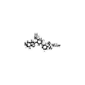 CNS(=O)(=O)c1cccc(-c2cnc(N)c(-c3nc4cnccc4o3)c2)c1